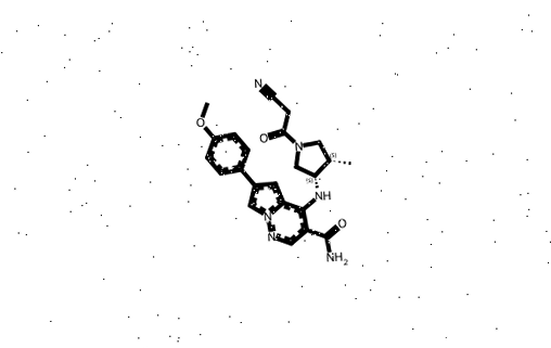 COc1ccc(-c2cc3c(N[C@@H]4CN(C(=O)CC#N)C[C@@H]4C)c(C(N)=O)cnn3c2)cc1